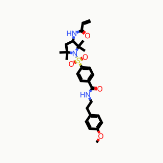 C=CC(=O)NC1CC(C)(C)N(S(=O)(=O)c2ccc(C(=O)NCCc3ccc(OC)cc3)cc2)C1(C)C